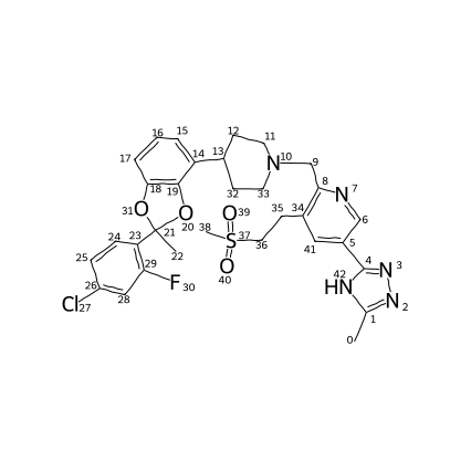 Cc1nnc(-c2cnc(CN3CCC(c4cccc5c4OC(C)(c4ccc(Cl)cc4F)O5)CC3)c(CCS(C)(=O)=O)c2)[nH]1